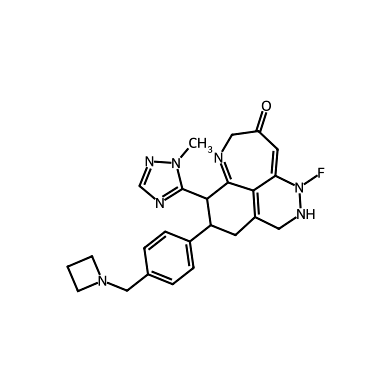 Cn1ncnc1C1C2=NCC(=O)C=C3C2=C(CNN3F)CC1c1ccc(CN2CCC2)cc1